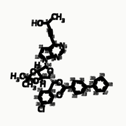 CC(O)C#Cc1ncnc2c1ccn2[C@@H]1O[C@H](C(OC(=O)c2ccc(-c3ccccc3)cc2)c2ccc(Cl)cc2)[C@H]2OC(C)(C)O[C@H]21